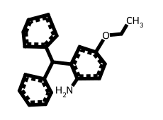 CCOc1ccc(N)c(C(c2ccccc2)c2ccccc2)c1